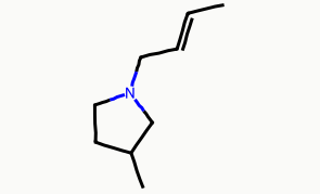 C/C=C/CN1CCC(C)C1